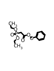 CCOP(=O)(CC(=O)OOc1ccccc1)OCC